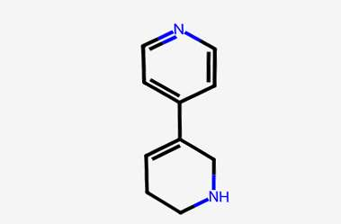 C1=C(c2ccncc2)CNCC1